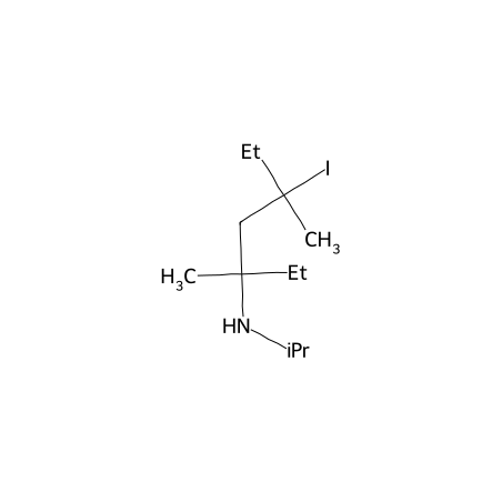 CCC(C)(I)CC(C)(CC)NC(C)C